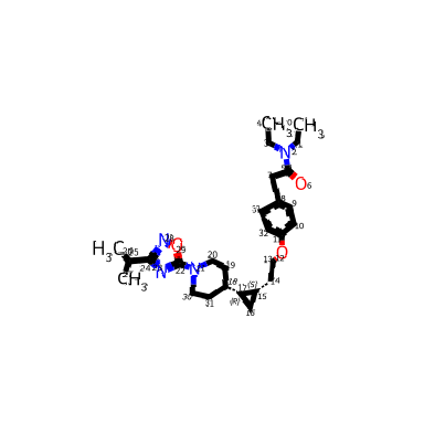 CCN(CC)C(=O)Cc1ccc(OCC[C@@H]2C[C@@H]2C2CCN(c3nc(C(C)C)no3)CC2)cc1